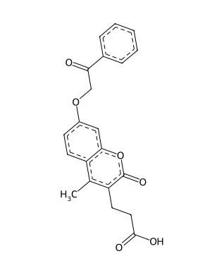 Cc1c(CCC(=O)O)c(=O)oc2cc(OCC(=O)c3ccccc3)ccc12